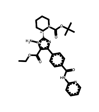 CCOC(=O)c1c(-c2ccc(C(=O)Nc3ccccn3)cc2)nc([C@@H]2CCCCN2C(=O)OC(C)(C)C)n1N